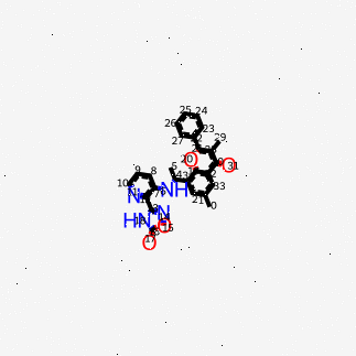 Cc1cc(C(C)Nc2cccnc2-c2noc(=O)[nH]2)c2oc(-c3ccccc3)c(C)c(=O)c2c1